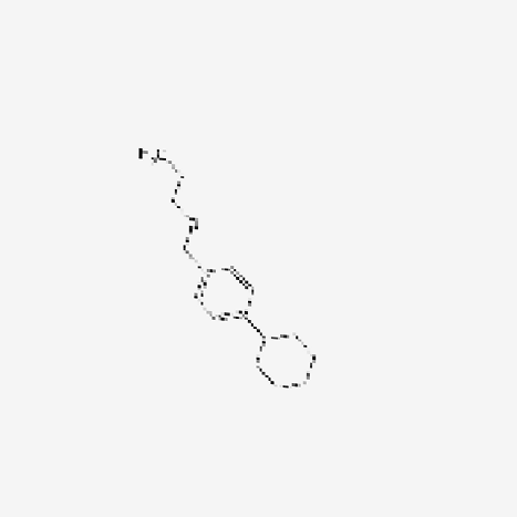 CCCOCc1ccc(C2CCCCC2)cc1